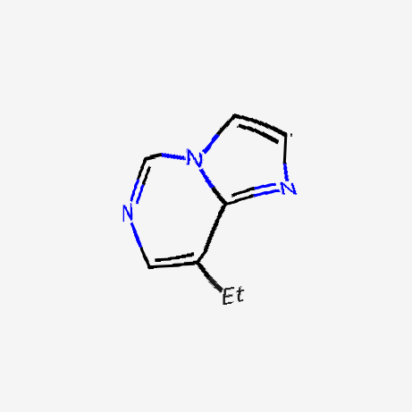 CCc1cncn2c[c]nc12